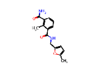 Cc1ccc(CNC(=O)c2cccc(C(N)=O)c2C)o1